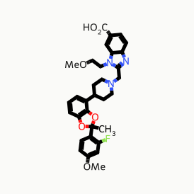 COCCN1C(CN2CCC(c3cccc4c3OC(C)(c3ccc(OC)cc3F)O4)CC2)=NC2C=CC(C(=O)O)=CC21